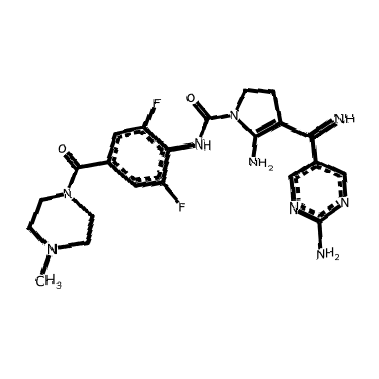 CN1CCN(C(=O)c2cc(F)c(NC(=O)N3CCC(C(=N)c4cnc(N)nc4)=C3N)c(F)c2)CC1